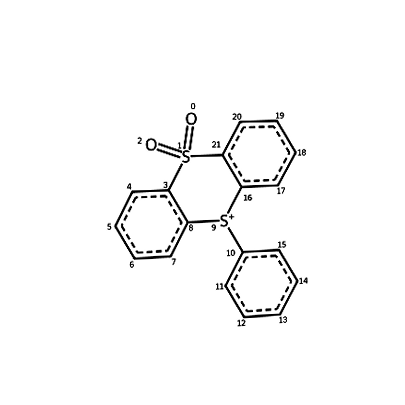 O=S1(=O)c2ccccc2[S+](c2ccccc2)c2ccccc21